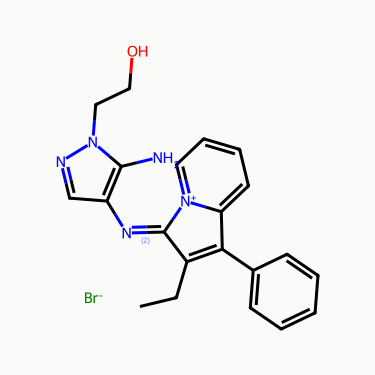 CCC1=C(c2ccccc2)c2cccc[n+]2/C1=N\c1cnn(CCO)c1N.[Br-]